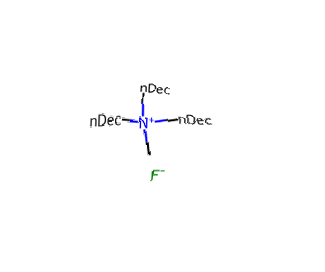 CCCCCCCCCC[N+](C)(CCCCCCCCCC)CCCCCCCCCC.[F-]